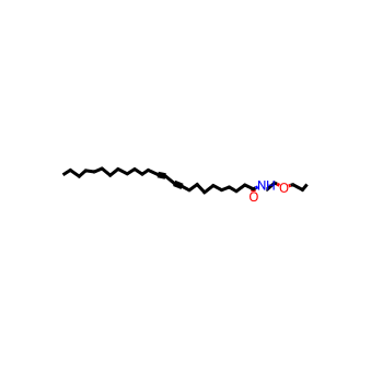 CCCCCCCCCCCCC#CC#CCCCCCCCCC(=O)NCCOCCC